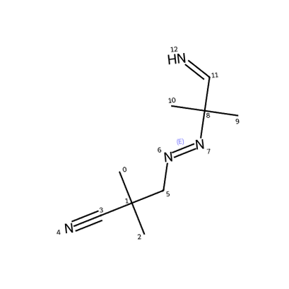 CC(C)(C#N)C/N=N/C(C)(C)C=N